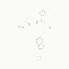 CC1(C)C(NC(=O)C(=NOC(COc2ccc3nc(CC4CNC4)cn3c2)C(=O)O)c2csc(N)n2)C(=O)N1OS(=O)(=O)O